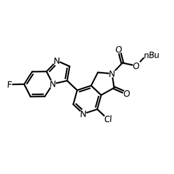 CCCCOC(=O)N1Cc2c(-c3cnc4cc(F)ccn34)cnc(Cl)c2C1=O